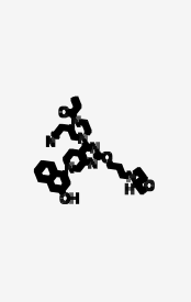 C=CC(=O)N1CCN(c2nc(OCCCN3CC4OC[C@H]43)nc3c2CCN(c2cc(O)cc4ccccc24)C3)CC1CC#N